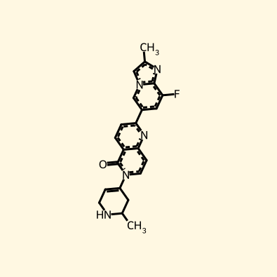 Cc1cn2cc(-c3ccc4c(=O)n(C5=CCNC(C)C5)ccc4n3)cc(F)c2n1